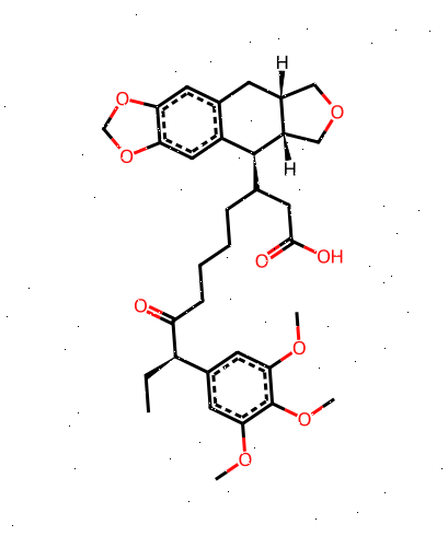 CC[C@@H](C(=O)CCCCC(CC(=O)O)[C@H]1c2cc3c(cc2C[C@@H]2COC[C@@H]21)OCO3)c1cc(OC)c(OC)c(OC)c1